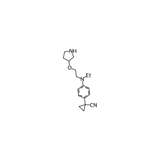 CCN(CCOC1CCNC1)c1ccc(C2(C#N)CC2)cc1